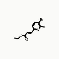 CCOC(=O)C=Cc1ccc(Br)c(C)n1